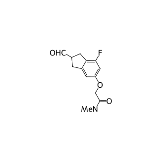 CNC(=O)COc1cc(F)c2c(c1)CC(C=O)C2